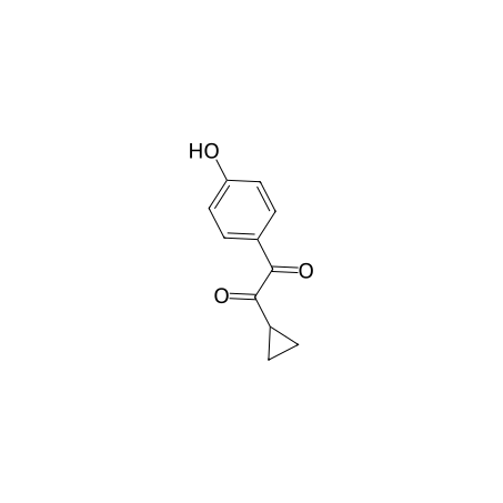 O=C(C(=O)C1CC1)c1ccc(O)cc1